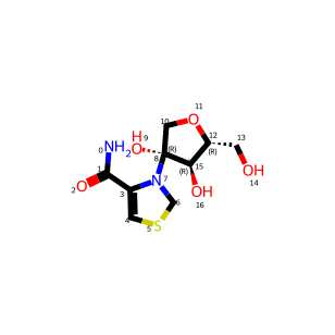 NC(=O)C1=CSCN1[C@@]1(O)CO[C@H](CO)[C@H]1O